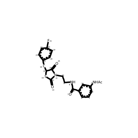 CC(=O)Nc1cccc(C(=O)NCCN2C(=O)SC(Cc3ccc(F)cc3)C2=O)c1